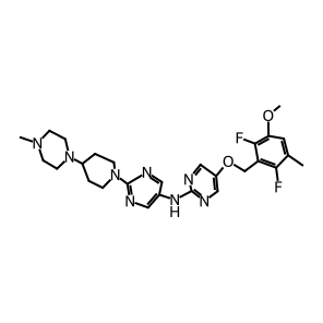 COc1cc(C)c(F)c(COc2cnc(Nc3cnc(N4CCC(N5CCN(C)CC5)CC4)nc3)nc2)c1F